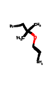 CC(C)CC(C)(C)OC=C[SiH3]